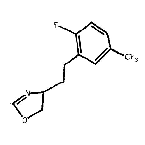 Fc1ccc(C(F)(F)F)cc1CCC1CO[C]=N1